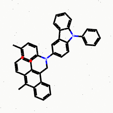 Cc1ccc(N(Cc2c3ccccc3c(C)c3ccccc23)c2ccc3c(c2)c2ccccc2n3-c2ccccc2)cc1